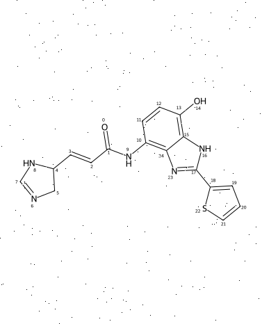 O=C(/C=C/C1CN=CN1)Nc1ccc(O)c2[nH]c(-c3cccs3)nc12